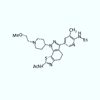 CCNc1ncc(-c2nn(C3CCN(CCOC)CC3)c3c2CCc2nc(NC(C)=O)sc2-3)cc1C